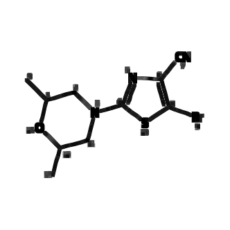 CC1CN(c2nc(C#N)c(Br)s2)CC(C)O1